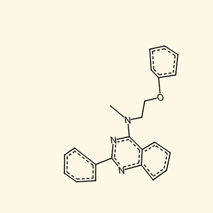 CN(CCOc1ccccc1)c1nc(-c2ccccc2)nc2ccccc12